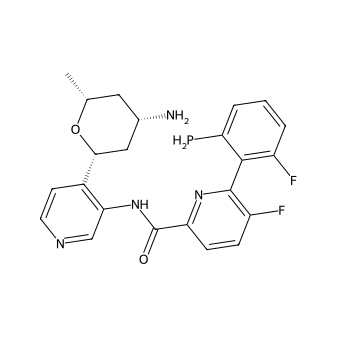 C[C@@H]1C[C@H](N)C[C@H](c2ccncc2NC(=O)c2ccc(F)c(-c3c(F)cccc3P)n2)O1